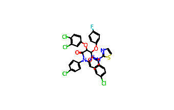 O=C(C(Oc1ccc(Cl)c(Cl)c1)C(Oc1ccc(F)cc1)C(=O)N(c1ccc(Cl)cc1)c1nccs1)N(c1ccc(Cl)cc1)c1ccccn1